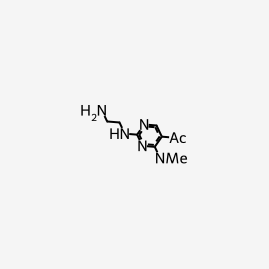 CNc1nc(NCCN)ncc1C(C)=O